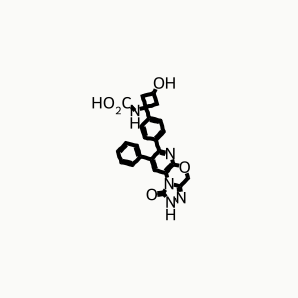 O=C(O)NC1(c2ccc(-c3nc4c(cc3-c3ccccc3)-n3c(n[nH]c3=O)CO4)cc2)CC(O)C1